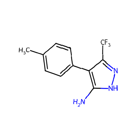 Cc1ccc(-c2c(C(F)(F)F)n[nH]c2N)cc1